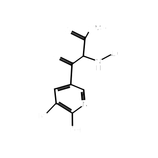 CCNC(C(=O)OC)C(=O)c1cnc(O)c(Br)c1